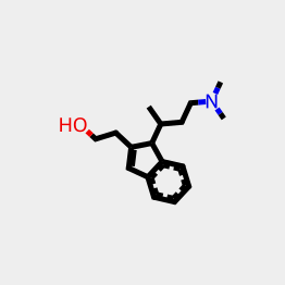 CC(CCN(C)C)C1C(CCO)=Cc2ccccc21